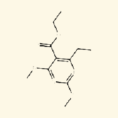 CCOC(=O)c1c(CC)nc(SC)nc1NC